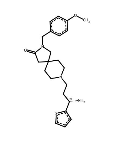 COc1ccc(CN2CC3(CCN(CC[C@H](N)c4cccs4)CC3)CC2=O)cc1